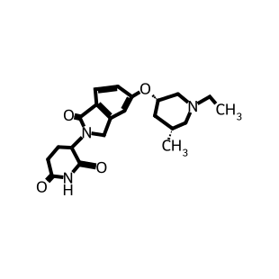 CCN1C[C@H](C)C[C@H](Oc2ccc3c(c2)CN(C2CCC(=O)NC2=O)C3=O)C1